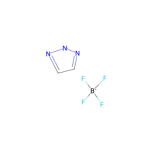 C1=N[N]N=C1.F[B-](F)(F)F